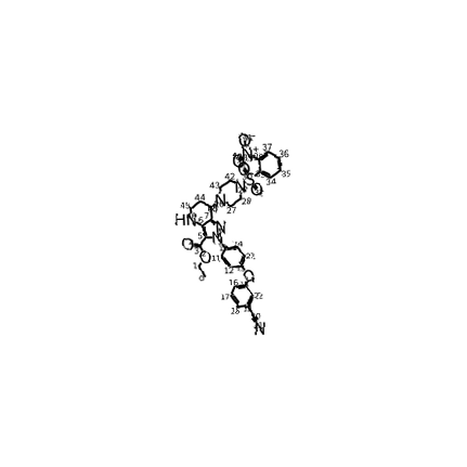 CCOC(=O)c1c2c(nn1-c1ccc(Oc3cccc(C#N)c3)cc1)[C@H](N1CCN(S(=O)(=O)c3ccccc3[N+](=O)[O-])CC1)CCN2